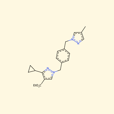 CCOC(=O)c1cn(Cc2ccc(Cn3cc(C)cn3)cc2)nc1C1CC1